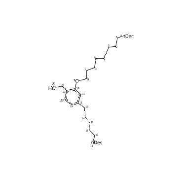 CCCCCCCCCCCCCCCCCCOc1cc(CCCCCCCCCCCCCCC)ccc1CO